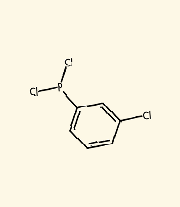 Clc1cccc(P(Cl)Cl)c1